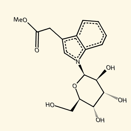 COC(=O)Cc1cn([C@@H]2O[C@H](CO)[C@@H](O)[C@@H](O)[C@@H]2O)c2ccccc12